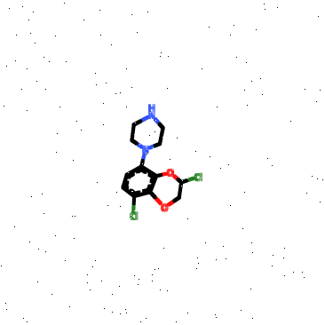 Clc1ccc(N2CCNCC2)c2c1OCC(Cl)O2